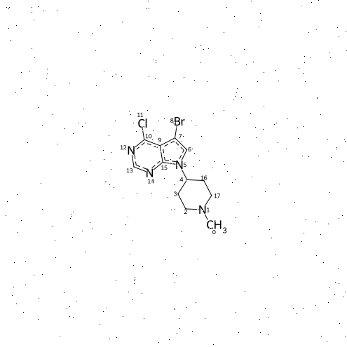 CN1CCC(n2cc(Br)c3c(Cl)ncnc32)CC1